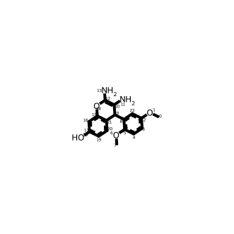 COc1ccc(OC)c(C2C(N)=C(N)Oc3cc(O)ccc32)c1